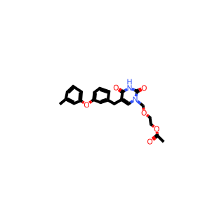 CC(=O)OCCOCn1cc(Cc2cccc(Oc3cccc(C)c3)c2)c(=O)[nH]c1=O